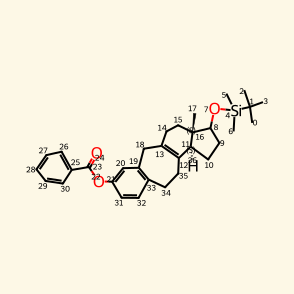 CC(C)(C)[Si](C)(C)OC1CC[C@H]2C3=C(CC[C@]12C)Cc1cc(OC(=O)c2ccccc2)ccc1CC3